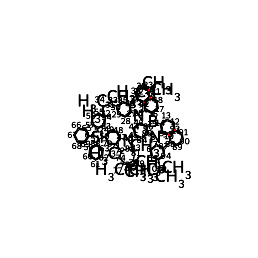 CC(C)(C)c1ccc(N2c3ccccc3B3c4ccc(C(C)(C)C)cc4N(c4ccc(C(C)(C)C)cc4-c4ccccc4)c4cc(N5c6ccc([Si](c7ccccc7)(c7ccccc7)c7ccccc7)cc6C6(C)CC(C)(C)C(C)(C)CC56C)cc2c43)c(-c2ccccc2)c1